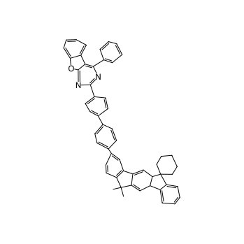 CC1(C)C2=CC3c4ccccc4C4(CCCCC4)C3C=C2c2cc(-c3ccc(-c4ccc(-c5nc(-c6ccccc6)c6c(n5)oc5ccccc56)cc4)cc3)ccc21